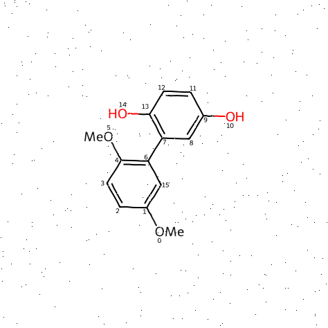 COc1ccc(OC)c(-c2cc(O)ccc2O)c1